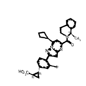 C[C@@H]1c2ccccc2CCN1C(=O)c1cc(C2CCC2)n2nc(-c3ccc([C@@H]4C[C@H]4C(=O)O)cc3F)cc2n1